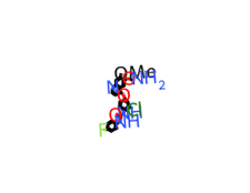 COc1cc2nccc(Oc3ccc(NC(=O)Nc4ccc(F)cc4)c(Cl)c3)c2cc1OCN